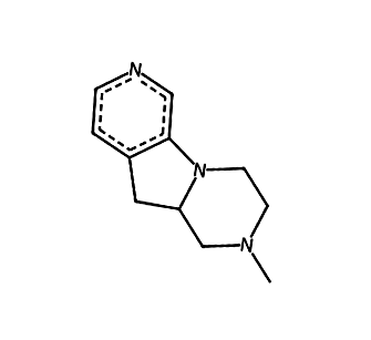 CN1CCN2c3cnccc3CC2C1